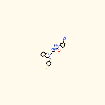 N#Cc1cccc(NC(=O)NCCCN2Cc3ccccc3CC2Cc2ccc(F)cc2)c1